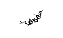 COCCN(C)Cc1ccc(Nc2nccc(-c3cnc(N4CC[C@H](F)C4)c(C#N)c3)n2)cn1